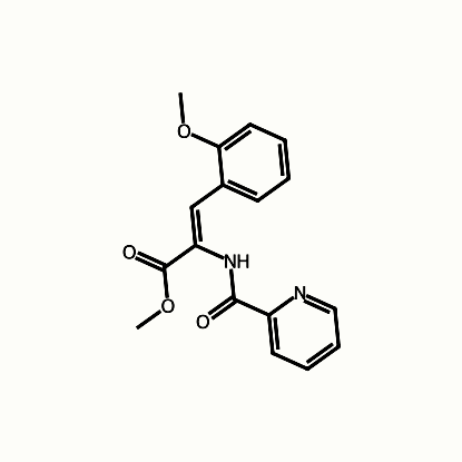 COC(=O)/C(=C/c1ccccc1OC)NC(=O)c1ccccn1